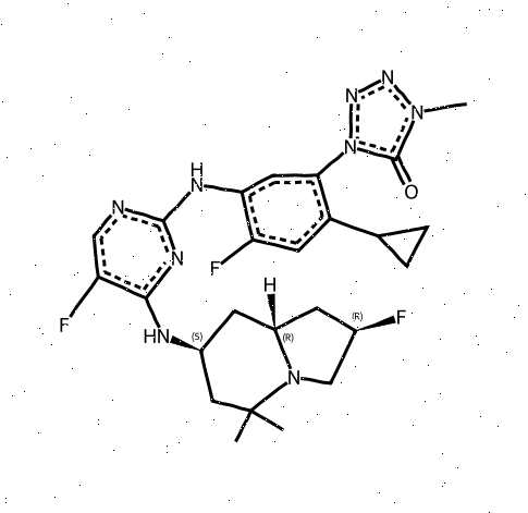 Cn1nnn(-c2cc(Nc3ncc(F)c(N[C@H]4C[C@@H]5C[C@@H](F)CN5C(C)(C)C4)n3)c(F)cc2C2CC2)c1=O